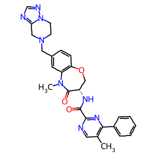 Cc1cnc(C(=O)N[C@H]2COc3ccc(CN4CCn5ncnc5C4)cc3N(C)C2=O)nc1-c1ccccc1